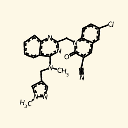 CN(Cc1cnn(C)c1)c1nc(Cn2c(=O)c(C#N)cc3cc(Cl)ccc32)nc2ccccc12